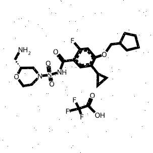 NC[C@@H]1CN(S(=O)(=O)NC(=O)c2cc(C3CC3)c(OCC3CCCC3)cc2F)CCO1.O=C(O)C(F)(F)F